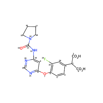 O=C(O)C(C(=O)O)c1ccc(Oc2cc(NC(=O)N3CCCC3)ncn2)c(F)c1